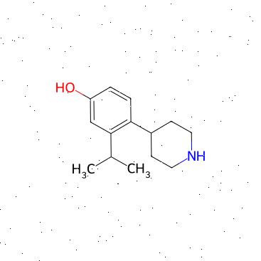 CC(C)c1cc(O)ccc1C1CCNCC1